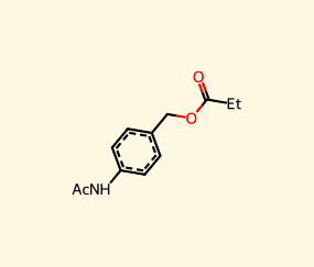 CCC(=O)OCc1ccc(NC(C)=O)cc1